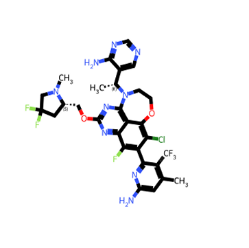 Cc1cc(N)nc(-c2c(Cl)c3c4c(nc(OC[C@@H]5CC(F)(F)CN5C)nc4c2F)N([C@H](C)c2cncnc2N)CCO3)c1C(F)(F)F